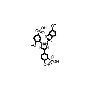 COc1ccc2nc(-n3nc(-c4ccc(O)c(S(=O)(=O)O)c4)n[n+]3-c3cc(S(=O)(=O)O)ccc3OC)sc2c1